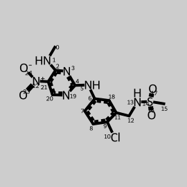 CNc1nc(Nc2ccc(Cl)c(CNS(C)(=O)=O)c2)ncc1[N+](=O)[O-]